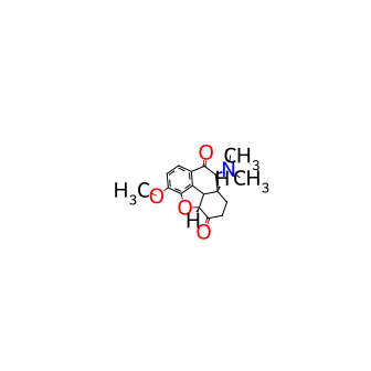 COc1ccc2c3c1O[C@H]1C(=O)CC[C@H](C31)[C@H](N(C)C)C2=O